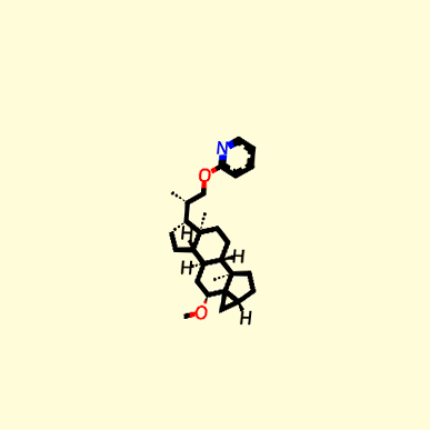 CO[C@@H]1C[C@H]2[C@@H]3CC[C@H]([C@H](C)COc4ccccn4)[C@@]3(C)CC[C@@H]2[C@@]2(C)CC[C@@H]3CC312